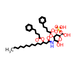 CCCCCCCCCCCC(CC(=O)N[C@H]1C(O)O[C@H](CO)[C@@H](OS(=O)(=O)O)[C@@H]1OC(=O)CCCc1ccccc1)OC(=O)CCCc1ccccc1